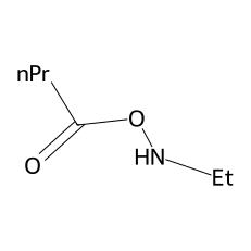 CCCC(=O)ONCC